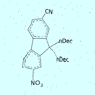 CCCCCCCCCCC1(CCCCCCCCCC)c2cc(C#N)ccc2-c2ccc([N+](=O)[O-])cc21